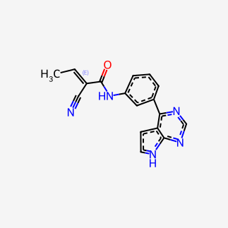 C/C=C(\C#N)C(=O)Nc1cccc(-c2ncnc3[nH]ccc23)c1